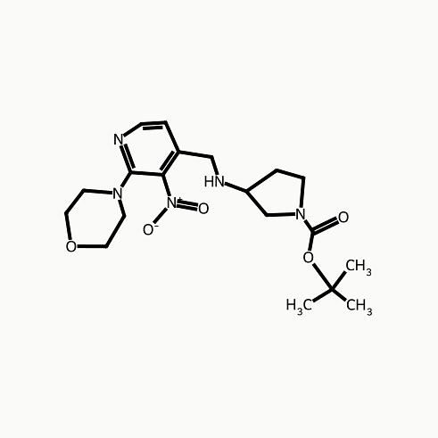 CC(C)(C)OC(=O)N1CCC(NCc2ccnc(N3CCOCC3)c2[N+](=O)[O-])C1